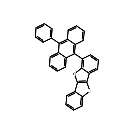 c1ccc(-c2c3ccccc3c(-c3cccc4c3oc3c5ccccc5oc43)c3ccccc23)cc1